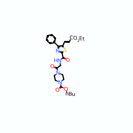 CCCCOC(=O)N1CCN(C(=O)CNC(=O)c2nc(-c3ccccc3)c(C=CC(=O)OCC)s2)CC1